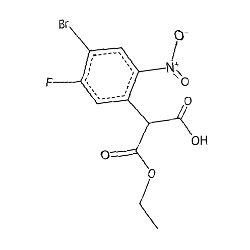 CCOC(=O)C(C(=O)O)c1cc(F)c(Br)cc1[N+](=O)[O-]